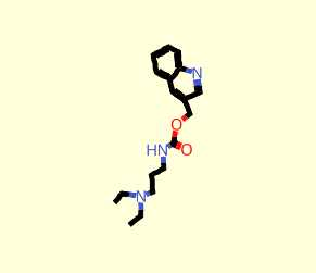 CCN(CC)CCCNC(=O)OCc1cnc2ccccc2c1